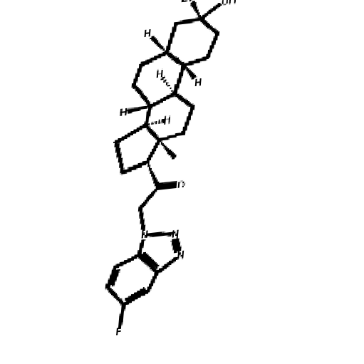 CC[C@@]1(O)CC[C@H]2[C@H](CC[C@@H]3[C@@H]2CC[C@]2(C)[C@@H](C(=O)Cn4nnc5cc(F)ccc54)CC[C@@H]32)C1